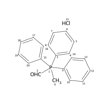 CP(C=O)(c1ccccc1)(c1ccccc1)c1ccccc1.Cl